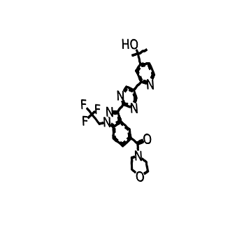 CC(C)(O)c1ccnc(-c2cnc(-c3nn(CC(F)(F)F)c4ccc(C(=O)N5CCOCC5)cc34)nc2)c1